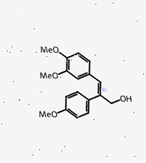 COc1ccc(/C(=C\c2ccc(OC)c(OC)c2)CO)cc1